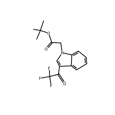 CC(C)(C)OC(=O)Cn1cc(C(=O)C(F)(F)F)c2ccccc21